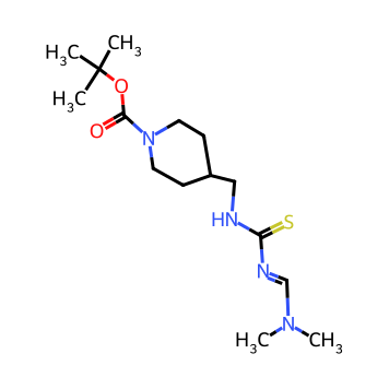 CN(C)C=NC(=S)NCC1CCN(C(=O)OC(C)(C)C)CC1